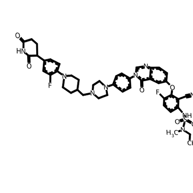 CCN(C)S(=O)(=O)Nc1ccc(F)c(Oc2ccc3ncn(-c4ccc(N5CCN(CC6CCN(c7ccc(C8CCC(=O)NC8=O)cc7F)CC6)CC5)cc4)c(=O)c3c2)c1C#N